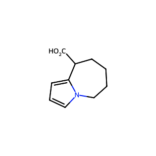 O=C(O)C1CCCCn2cccc21